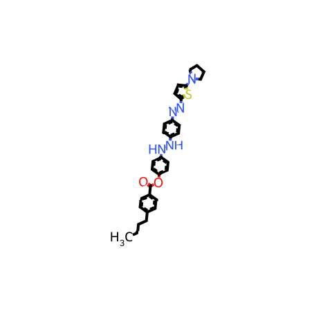 CCCCc1ccc(C(=O)Oc2ccc(NNc3ccc(N=Nc4ccc(N5CCCC5)s4)cc3)cc2)cc1